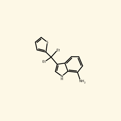 CCC(CC)(c1cccs1)c1c[nH]c2c(N)cccc12